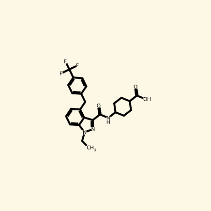 CCn1nc(C(=O)NC2CCC(C(=O)O)CC2)c2c(Cc3ccc(C(F)(F)F)cc3)cccc21